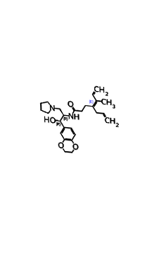 C=CC/C(CCC(=O)N[C@H](CN1CCCC1)[C@H](O)c1ccc2c(c1)OCCO2)=C(\C)C=C